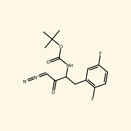 CC(C)(C)OC(=O)NC(Cc1cc(F)ccc1F)C(=O)C=[N+]=[N-]